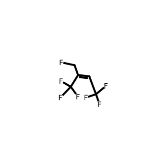 FC/C(=C/C(F)(F)F)C(F)(F)F